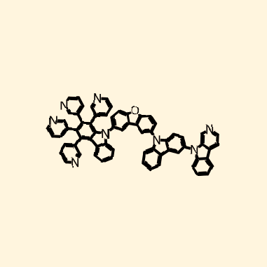 c1cncc(-c2c(-c3cccnc3)c(-c3cccnc3)c3c(c2-c2cccnc2)c2ccccc2n3-c2ccc3oc4ccc(-n5c6ccccc6c6cc(-n7c8ccccc8c8ccncc87)ccc65)cc4c3c2)c1